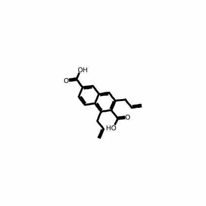 C=CCc1cc2cc(C(=O)O)ccc2c(CC=C)c1C(=O)O